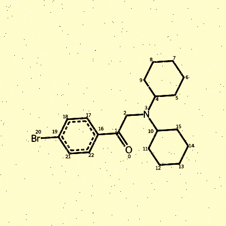 O=C(CN(C1CCCCC1)C1CCCCC1)c1ccc(Br)cc1